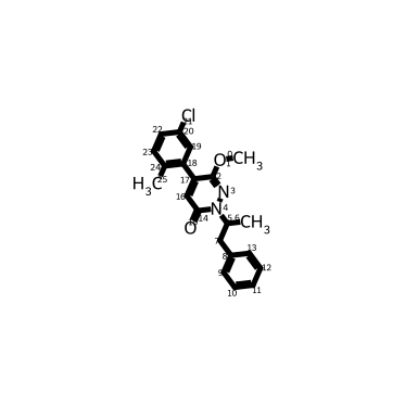 COc1nn(C(C)Cc2ccccc2)c(=O)cc1-c1cc(Cl)ccc1C